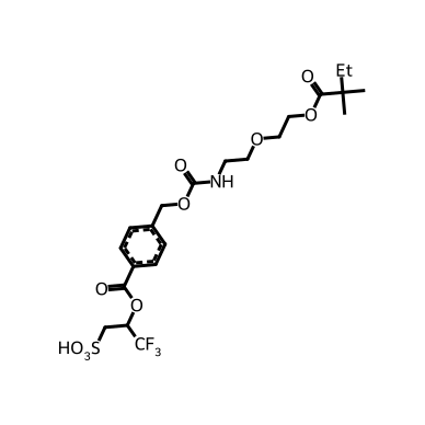 CCC(C)(C)C(=O)OCCOCCNC(=O)OCc1ccc(C(=O)OC(CS(=O)(=O)O)C(F)(F)F)cc1